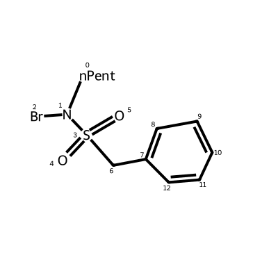 CCCCCN(Br)S(=O)(=O)Cc1ccccc1